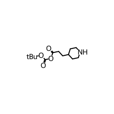 CC(C)(C)OC(=O)OC(=O)CCC1CCNCC1